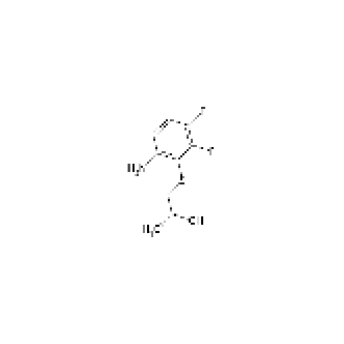 C[C@@H](O)CSc1c(N)ccc(F)c1F